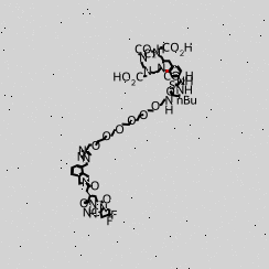 CCCC[C@@H](NC(=S)Nc1ccc(CC2CN(CC(=O)O)CCN(CC(=O)O)CCN(CC(=O)O)CCN2CC(=O)O)cc1)C(=O)NCCOCCOCCOCCOCCOCCOCc1cn(Cc2cccc3c2CN(C(=O)C[C@H]2C[C@H](C(=O)N4CC(F)(F)C[C@H]4C#N)NC2=O)C3)nn1